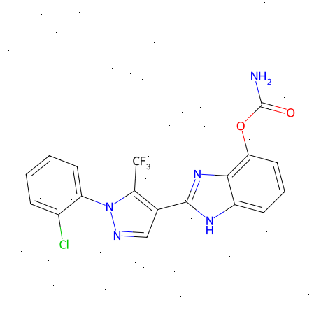 NC(=O)Oc1cccc2[nH]c(-c3cnn(-c4ccccc4Cl)c3C(F)(F)F)nc12